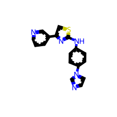 c1cncc(-c2csc(Nc3ccc(-n4ccnc4)cc3)n2)c1